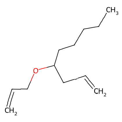 C=CCOC(CC=C)CCCCC